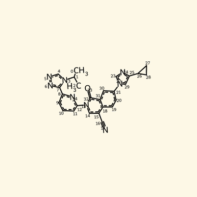 CC(C)n1cnnc1-c1cccc(-n2cc(C#N)c3ccc(-n4cnc(C5CC5)c4)cc3c2=O)n1